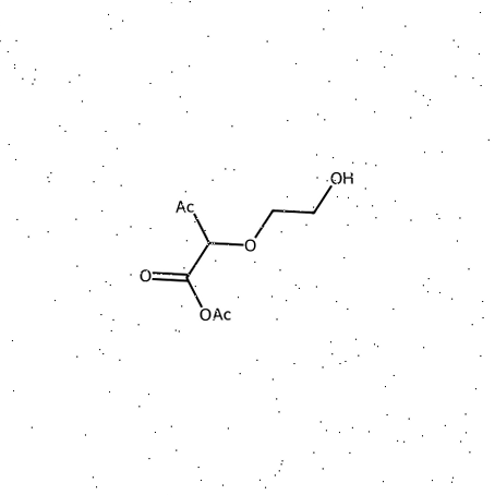 CC(=O)OC(=O)C(OCCO)C(C)=O